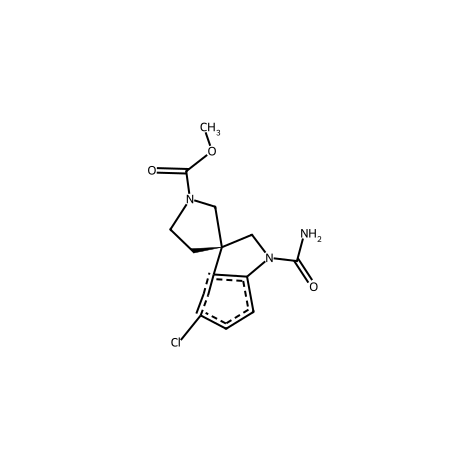 COC(=O)N1CC[C@@]2(C1)CN(C(N)=O)c1ccc(Cl)cc12